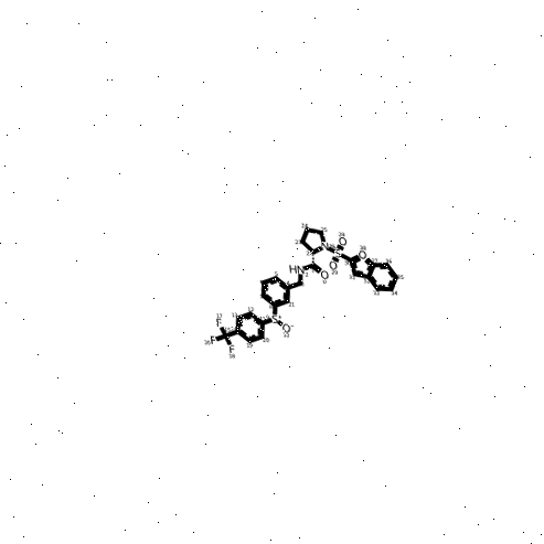 O=C(NCc1cccc([S+]([O-])c2ccc(C(F)(F)F)cc2)c1)[C@@H]1CCCN1S(=O)(=O)c1cc2ccccc2o1